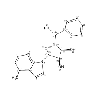 Cc1ccnc2c1ccn2[C@@H]1O[C@H]([C@H](O)c2ccccc2)[C@@H](O)[C@H]1O